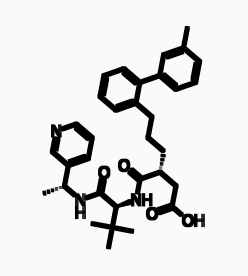 Cc1cccc(-c2ccccc2CCC[C@H](CC(=O)O)C(=O)N[C@H](C(=O)N[C@H](C)c2cccnc2)C(C)(C)C)c1